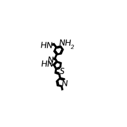 Cc1ccc(-c2cc3c(s2)Cc2c(-c4ccc(N)c(C=N)c4)n[nH]c2-3)cn1